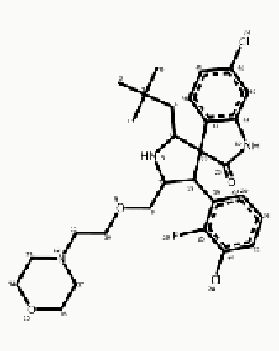 CC(C)(C)CC1NC(COCCN2CCOCC2)C(c2cccc(Cl)c2F)C12C(=O)Nc1cc(Cl)ccc12